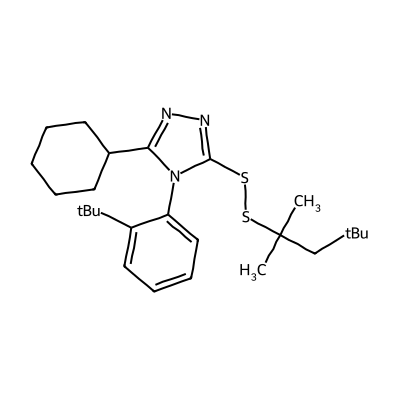 CC(C)(C)CC(C)(C)SSc1nnc(C2CCCCC2)n1-c1ccccc1C(C)(C)C